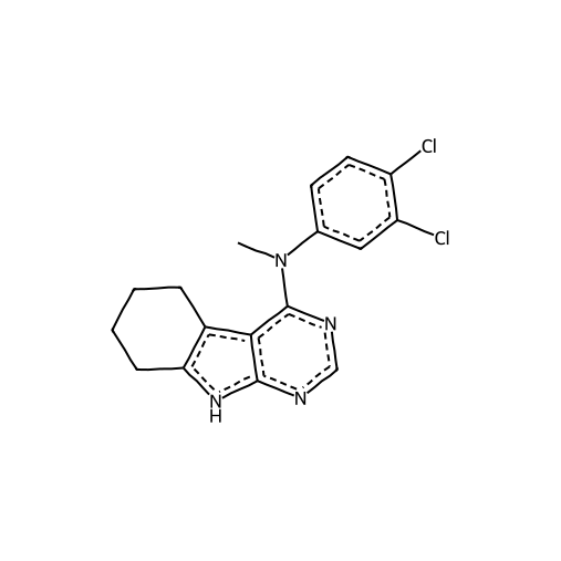 CN(c1ccc(Cl)c(Cl)c1)c1ncnc2[nH]c3c(c12)CCCC3